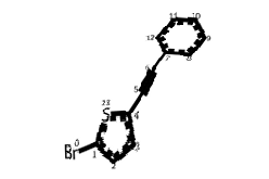 Brc1ccc(C#Cc2ccccc2)s1